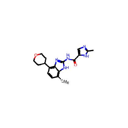 COc1ccc(C2CCOCC2)c2nc(NC(=O)c3cnc(C)[nH]3)[nH]c12